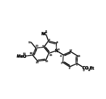 CCOC(=O)c1ccc(-n2cc(C#N)c3c(C)c(OC)ccc32)cc1